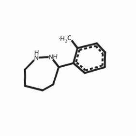 [CH2]c1ccccc1C1CCCCNN1